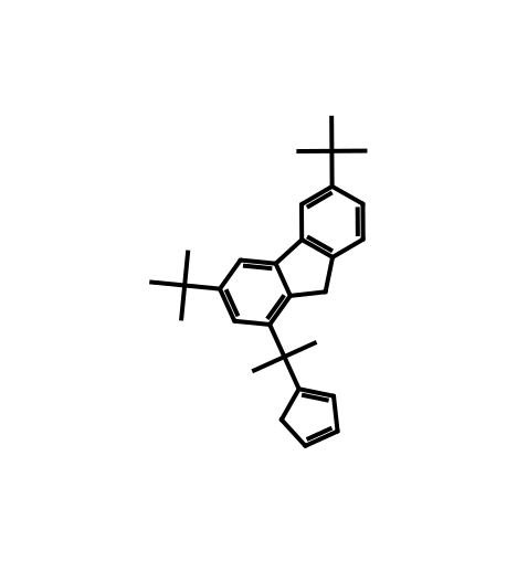 CC(C)(C)c1ccc2c(c1)-c1cc(C(C)(C)C)cc(C(C)(C)C3=CC=CC3)c1C2